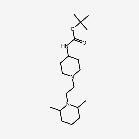 CC1CCCC(C)N1CCN1CCC(NC(=O)OC(C)(C)C)CC1